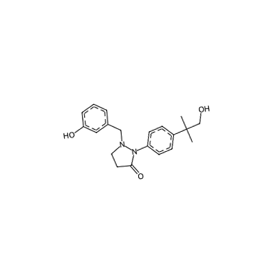 CC(C)(CO)c1ccc(N2C(=O)CCN2Cc2cccc(O)c2)cc1